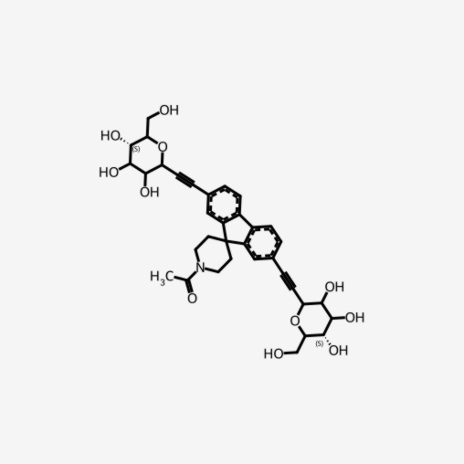 CC(=O)N1CCC2(CC1)c1cc(C#CC3OC(CO)[C@@H](O)C(O)C3O)ccc1-c1ccc(C#CC3OC(CO)[C@@H](O)C(O)C3O)cc12